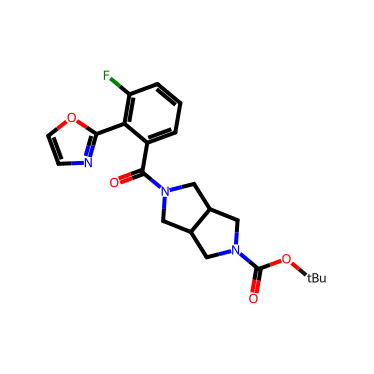 CC(C)(C)OC(=O)N1CC2CN(C(=O)c3cccc(F)c3-c3ncco3)CC2C1